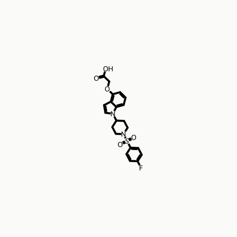 O=C(O)COc1cccc2c1ccn2C1CCN(S(=O)(=O)c2ccc(F)cc2)CC1